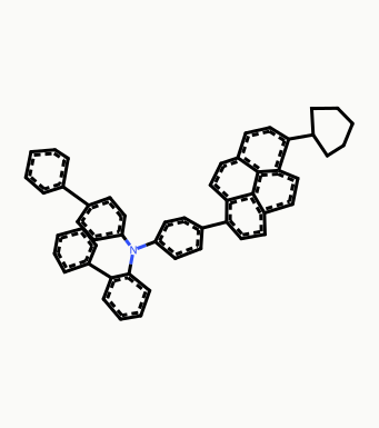 c1ccc(-c2ccc(N(c3ccc(-c4ccc5ccc6c(C7CCCCC7)ccc7ccc4c5c76)cc3)c3ccccc3-c3ccccc3)cc2)cc1